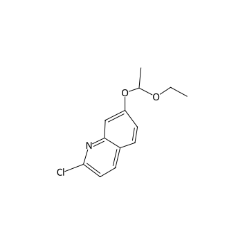 CCOC(C)Oc1ccc2ccc(Cl)nc2c1